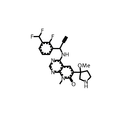 C#CC(Nc1ncnc2c1cc(C1(OC)CCNC1)c(=O)n2C)c1cccc(C(F)F)c1F